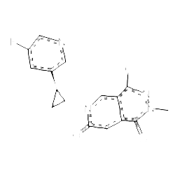 Cn1nc(Cl)c2cn([C@@H]3C[C@H]3c3cncc(F)c3)c(=O)cc2c1=O